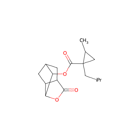 CC(C)CC1(C(=O)OC2C3CC4C(=O)OC2C4C3)CC1C